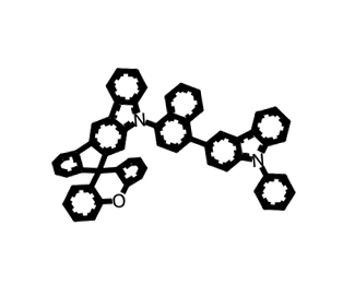 c1ccc(-n2c3ccccc3c3cc(-c4ccc(-n5c6ccccc6c6cc7c(cc65)C5(c6ccccc6Oc6ccccc65)c5ccccc5-7)c5ccccc45)ccc32)cc1